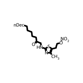 CCCCCCCCCCCCCCCC(=O)CNc1nc(C)c(CCO[N+](=O)[O-])s1